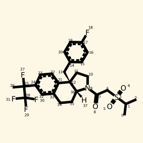 CC(C)S(=O)(=O)CC(=O)N1CC[C@@]2(Cc3ccc(F)cc3)c3ccc(C(C)(F)C(F)(F)F)cc3CC[C@@H]12